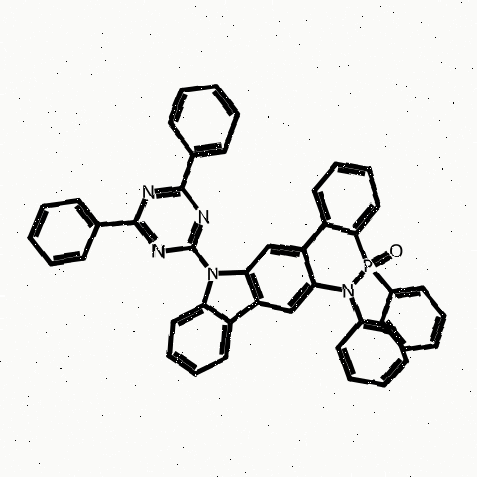 O=P1(c2ccccc2)c2ccccc2-c2cc3c(cc2N1c1ccccc1)c1ccccc1n3-c1nc(-c2ccccc2)nc(-c2ccccc2)n1